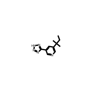 CCC(C)(C)c1cncc(-c2nn[nH]n2)c1